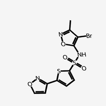 Cc1noc(NS(=O)(=O)c2ccc(-c3ccon3)s2)c1Br